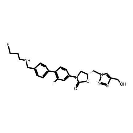 O=C1O[C@@H](Cn2cc(CO)nn2)CN1c1ccc(-c2ccc(CNCCCF)cc2)c(F)c1